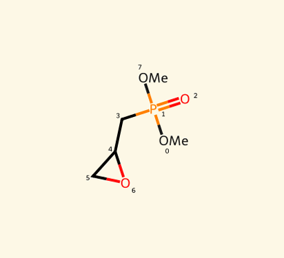 COP(=O)(CC1CO1)OC